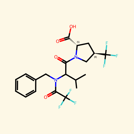 CC(C)C(C(=O)N1C[C@H](C(F)(F)F)C[C@H]1C(=O)O)N(Cc1ccccc1)C(=O)C(F)(F)F